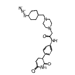 [N-]=[N+]=NC1CCC(CN2CCN(CC(=O)Nc3ccc(C4CCC(=O)NC4=O)cc3)CC2)CC1